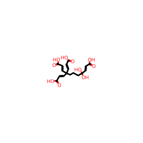 O=C(O)C=CC(O)(O)CCCC(C=CC(=O)O)(C=CC(=O)O)C=CC(=O)O